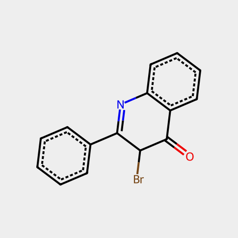 O=C1c2ccccc2N=C(c2ccccc2)C1Br